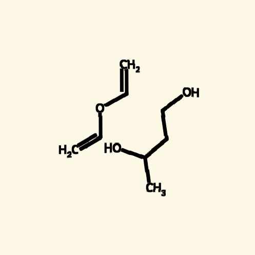 C=COC=C.CC(O)CCO